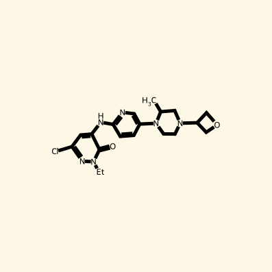 CCn1nc(Cl)cc(Nc2ccc(N3CCN(C4COC4)CC3C)cn2)c1=O